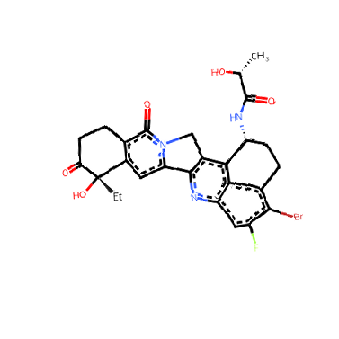 CC[C@@]1(O)C(=O)CCc2c1cc1n(c2=O)Cc2c-1nc1cc(F)c(Br)c3c1c2[C@H](NC(=O)[C@@H](C)O)CC3